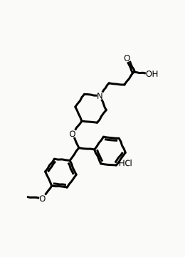 COc1ccc(C(OC2CCN(CCC(=O)O)CC2)c2ccccc2)cc1.Cl